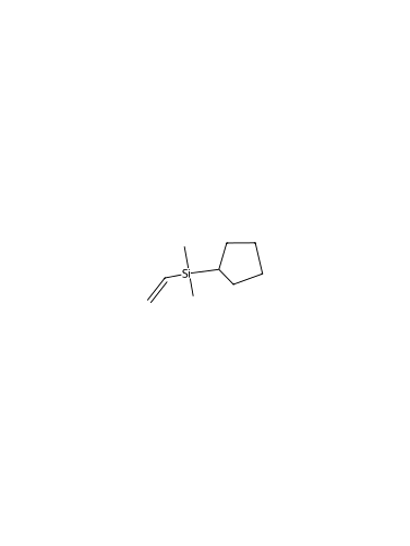 C=C[Si](C)(C)C1CCCC1